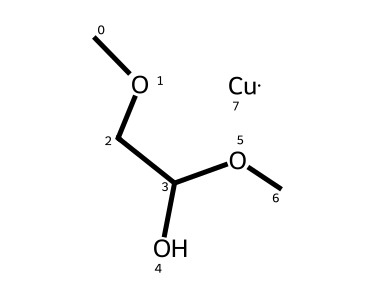 COCC(O)OC.[Cu]